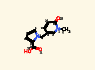 Cn1cc(Cn2cccc2C(=O)O)ccc1=O